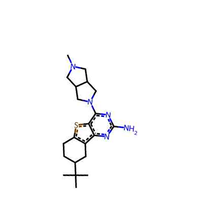 CN1CC2CN(c3nc(N)nc4c5c(sc34)CCC(C(C)(C)C)C5)CC2C1